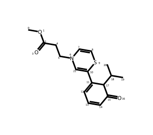 COC(=O)CCN1C=CSC(C2=CC=CC(=O)C2C(C)C)=C1